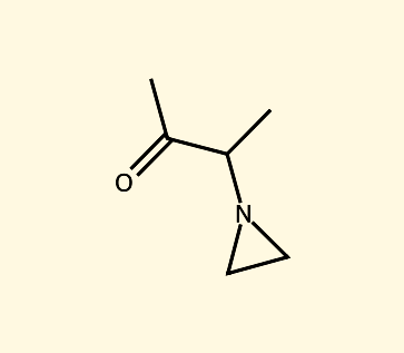 CC(=O)C(C)N1CC1